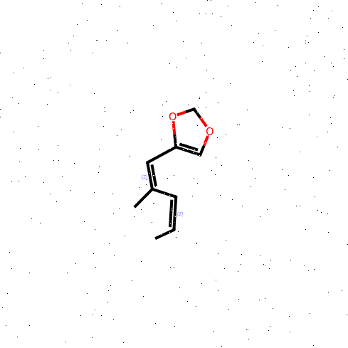 C/C=C\C(C)=C/C1=COCO1